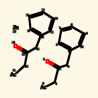 CC(=O)CC(=O)Cc1ccccc1.CC(=O)CC(=O)Cc1ccccc1.[Zn]